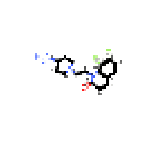 NC1CCN(CCn2c(=O)ccc3ccc(F)c(F)c32)CC1